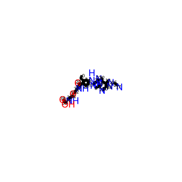 CCc1cc(Nc2nccn3c(-c4cn(CC#N)nc4C#N)cnc23)ccc1C(=O)NCCOCCNC(=O)O